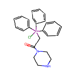 O=C(CP(Cl)(c1ccccc1)(c1ccccc1)c1ccccc1)N1CCNCC1